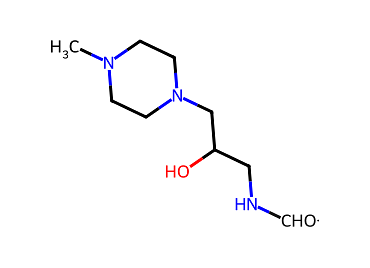 CN1CCN(CC(O)CN[C]=O)CC1